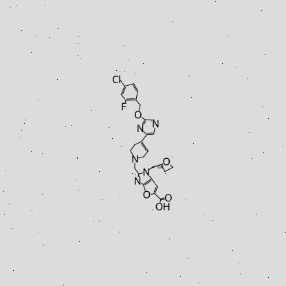 O=C(O)c1cc2c(nc(CN3CC=C(c4cncc(OCc5ccc(Cl)cc5F)n4)CC3)n2C[C@@H]2CCO2)o1